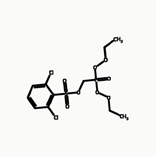 CCOOP(=O)(COS(=O)(=O)c1c(Cl)cccc1Cl)OOCC